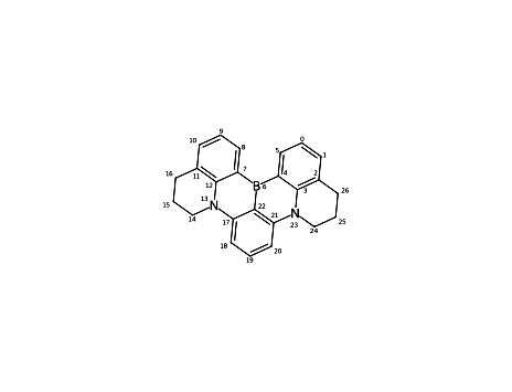 c1cc2c3c(c1)B1c4cccc5c4N(CCC5)c4cccc(c41)N3CCC2